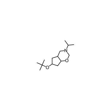 CC(C)N1COC2CC(OC(C)(C)C)CC2C1